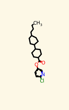 CCCCC1CCC(C2CCC(C(=O)Oc3ccc(Cl)nc3)CC2)CC1